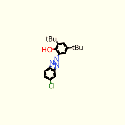 CC(C)(C)c1cc(-n2n3c4ccc(Cl)cc4n23)c(O)c(C(C)(C)C)c1